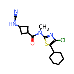 CN(C(=O)C1CC(NC#N)C1)c1nc(Cl)c(C2CCCCC2)s1